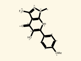 COc1ccc(-c2[nH]c3c(c(C(F)(F)F)nn3C)c(=O)c2O)cc1